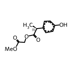 COC(=O)COC(=O)[C@@H](C)c1ccc(O)cc1